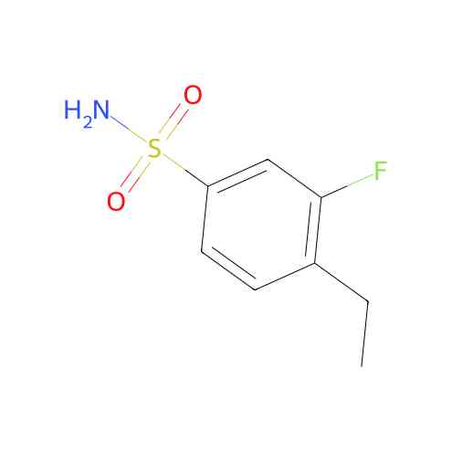 CCc1ccc(S(N)(=O)=O)cc1F